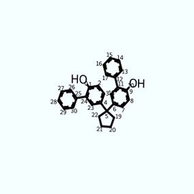 Oc1ccc(C2(c3ccc(O)c(-c4ccccc4)c3)CCCC2)cc1-c1ccccc1